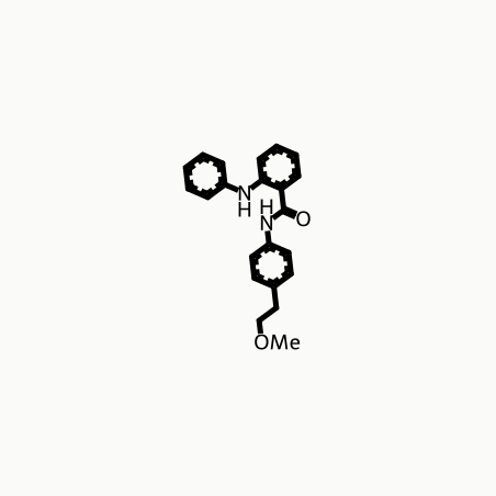 COCCc1ccc(NC(=O)c2ccccc2Nc2ccccc2)cc1